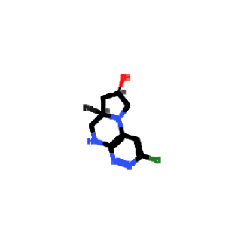 CC[C@]12CNc3nnc(Cl)cc3N1C[C@@H](O)C2